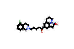 O=C(CCCCN1CCc2c(Cl)cccc2C1)c1cc2c3c(c1)CC(=O)N3CCC2